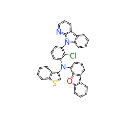 Clc1c(N(c2csc3ccccc23)c2cccc3c2oc2ccccc23)cccc1-n1c2ccccc2c2cccnc21